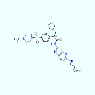 COCCNc1ccc2nc(NC(=O)[C@H](CC3CCCC3)c3ccc(S(=O)(=O)N4CCN(C)CC4)cc3)sc2n1